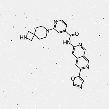 O=C(Nc1cc2cc(-c3cnco3)ncc2cn1)c1ccnc(N2CCC3(CC2)CNC3)c1